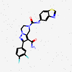 NC(=O)c1c(-c2ccc(F)c(F)c2)nn2c1CN(C(=O)Nc1ccc3scnc3c1)CC2